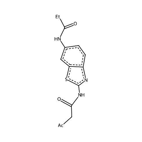 CCC(=O)Nc1ccc2nc(NC(=O)CC(C)=O)sc2c1